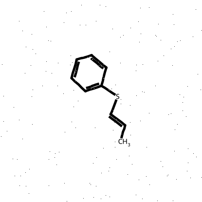 CC=CSc1ccccc1